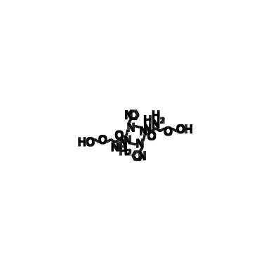 NC(CCOCCO)C(=O)NN1CCN(Cc2ccccn2)CCN(NC(=O)C(N)CCOCCO)CCN(Cc2ccccn2)CC1